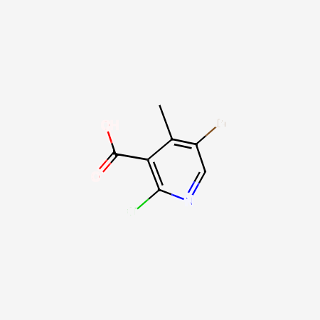 Cc1c(Br)cnc(Cl)c1C(=O)O